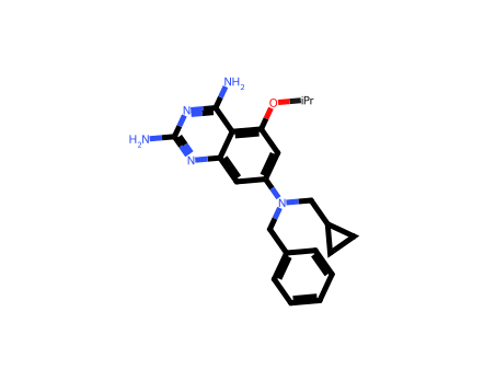 CC(C)Oc1cc(N(Cc2ccccc2)CC2CC2)cc2nc(N)nc(N)c12